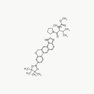 COC(=O)N[C@H](C(=O)N1[C@@H](C)CC[C@H]1c1nc2ccc3cc4c(cc3c2[nH]1)COc1cc(B2OC(C)(C)C(C)(C)O2)ccc1-4)C(C)C